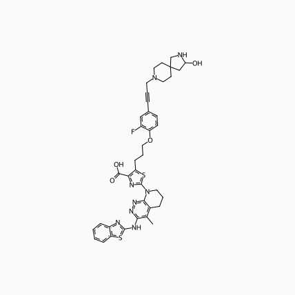 Cc1c(Nc2nc3ccccc3s2)nnc2c1CCCN2c1nc(C(=O)O)c(CCCOc2ccc(C#CCN3CCC4(CC3)CNC(O)C4)cc2F)s1